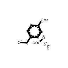 COc1ccc(CCl)cc1.O=C([O-])[O-].[K+].[K+]